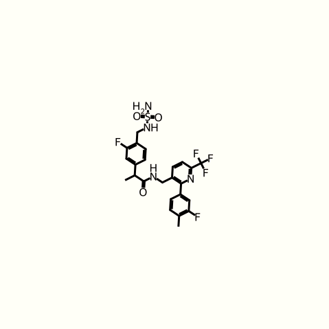 Cc1ccc(-c2nc(C(F)(F)F)ccc2CNC(=O)C(C)c2ccc(CNS(N)(=O)=O)c(F)c2)cc1F